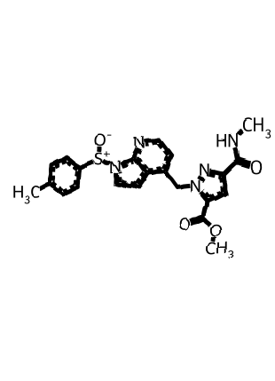 CNC(=O)c1cc(C(=O)OC)n(Cc2ccnc3c2ccn3[S+]([O-])c2ccc(C)cc2)n1